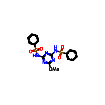 COc1nc(NS(=O)(=O)c2ccccc2)nc(NS(=O)(=O)c2ccccc2)n1